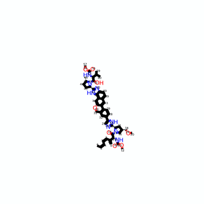 C=C(/C=C\C=C/C)[C@@H](NC(=O)OC)C(=O)N1C[C@@H](COC)C[C@H]1c1ncc(-c2ccc3c(c2)COc2cc4c(ccc5nc([C@@H]6CC[C@H](C)N6C(O)[C@@H](NC(=O)OC)C(C)C)[nH]c54)cc2-3)[nH]1